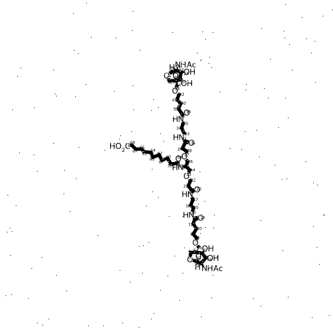 CC(=O)N[C@H]1[C@H]2OC[C@](COCCCCC(=O)NCCCNC(=O)CCOCC(COCCC(=O)NCCCNC(=O)CCCCOC[C@@]34CO[C@@H](O3)[C@H](NC(C)=O)[C@@H](O)[C@H]4O)NC(=O)CCCCCCCCCCC(=O)O)(O2)[C@H](O)[C@@H]1O